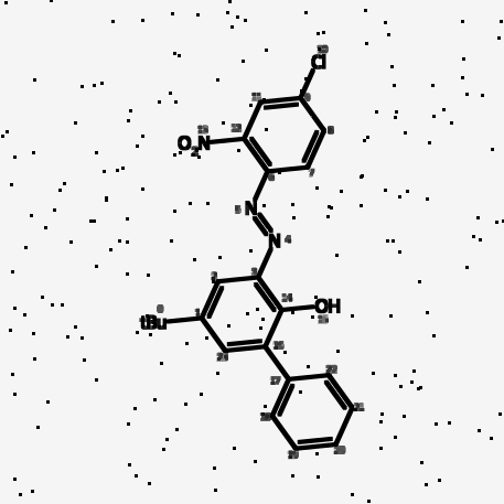 CC(C)(C)c1cc(/N=N/c2ccc(Cl)cc2[N+](=O)[O-])c(O)c(-c2ccccc2)c1